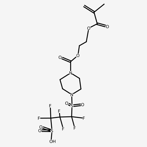 C=C(C)C(=O)OCCOC(=O)N1CCN(S(=O)(=O)C(F)(F)C(F)(F)C(F)(F)S(=O)(=O)O)CC1